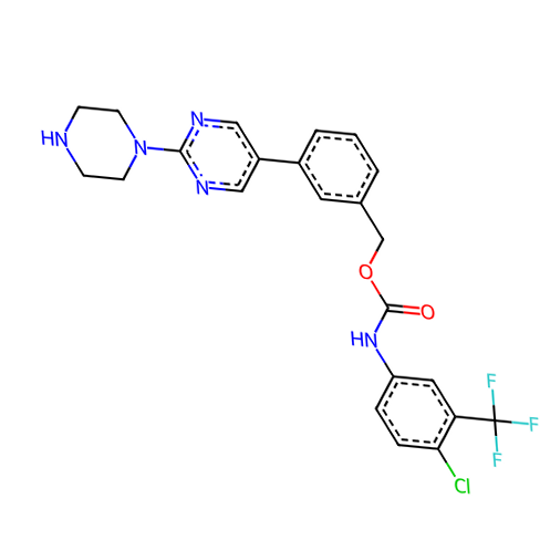 O=C(Nc1ccc(Cl)c(C(F)(F)F)c1)OCc1cccc(-c2cnc(N3CCNCC3)nc2)c1